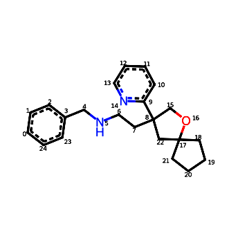 c1ccc(CNCCC2(c3ccccn3)COC3(CCCC3)C2)cc1